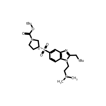 CN(C)CCn1c(CC(C)(C)C)nc2cc(S(=O)(=O)[C@@H]3CCN(C(=O)OC(C)(C)C)C3)ccc21